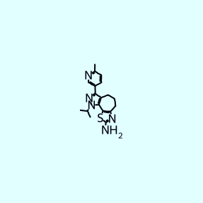 Cc1ccc(-c2nn(C(C)C)c3c2CCCc2nc(N)sc2-3)cn1